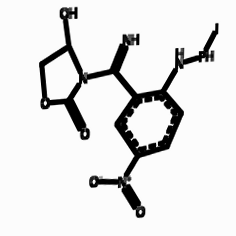 N=C(c1cc([N+](=O)[O-])ccc1NPI)N1C(=O)OCC1O